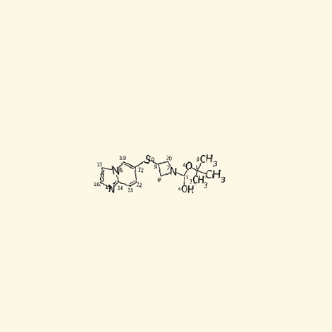 CC(C)(C)OC(O)N1CC(Sc2ccc3nccn3c2)C1